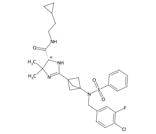 CC1(C)N=C(C23CC(N(Cc4ccc(Cl)c(F)c4)S(=O)(=O)c4ccccc4)(C2)C3)N[C@H]1C(=O)NCCC1CC1